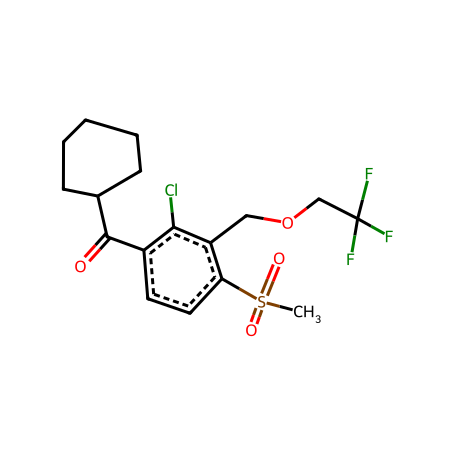 CS(=O)(=O)c1ccc(C(=O)C2CCCCC2)c(Cl)c1COCC(F)(F)F